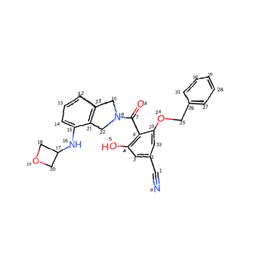 N#Cc1cc(O)c(C(=O)N2Cc3cccc(NC4COC4)c3C2)c(OCc2ccccc2)c1